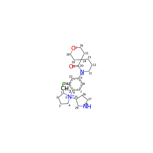 CC1CCC[N+]1(c1ccc(N2CCCC3(CCOCC3)C2=O)cc1F)C1CCNC1